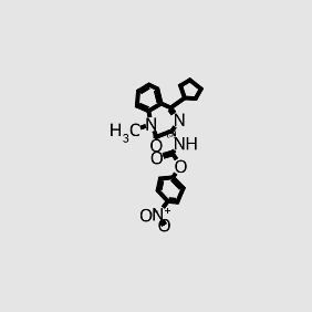 CN1C(=O)[C@@H](NC(=O)Oc2ccc([N+](=O)[O-])cc2)N=C(C2CCCC2)c2ccccc21